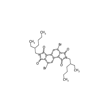 CCCCC(CC)Cn1c(=O)c2c(Br)cc3c(cc(Br)c4c(=O)n(CC(CC)CCCC)c(=O)c43)c2c1=O